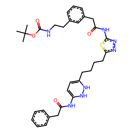 CC(C)(C)OC(=O)NCCc1cccc(CC(=O)Nc2nnc(CCCCC3=CC=C(NC(=O)Cc4ccccc4)NN3)s2)c1